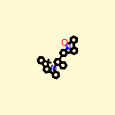 CC1(C)c2ccccc2-c2ccc3c4ccccc4n(-c4ccc(-c5ccc6c(c5)c5cccc7c8ccccc8c(=O)n6c75)c5ccccc45)c3c21